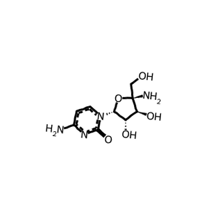 Nc1ccn([C@@H]2O[C@](N)(CO)[C@@H](O)[C@@H]2O)c(=O)n1